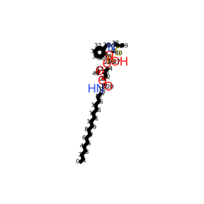 CCCCCCCCCCCCCCCCCCNC(=O)OCC(COP(O)Oc1ccccc1CN1C=C(C)SC1)OC